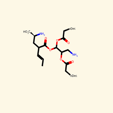 CC=CC(C[C@H](N)C(=O)O)C(=O)OC(OC(=O)CCCCCCCCCCC)C(CN)OC(=O)CCCCCCCCCCC